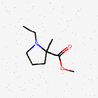 CCN1CCCC1(C)C(=O)OC